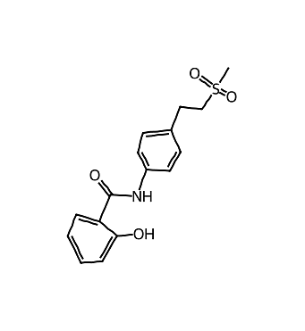 CS(=O)(=O)CCc1ccc(NC(=O)c2ccccc2O)cc1